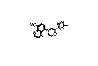 Cc1nnc([C@H]2CN(c3ccc(C#N)c4nccnc34)C[C@@H](C)O2)o1